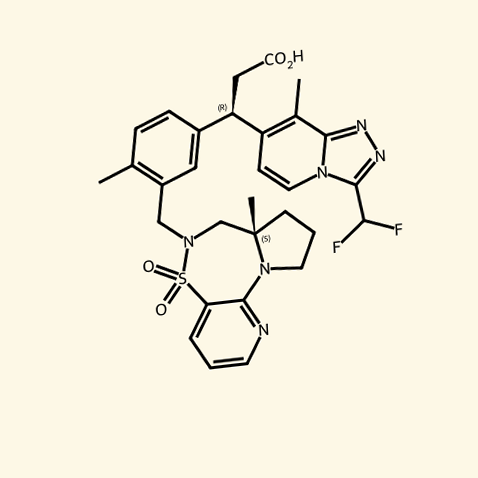 Cc1ccc([C@@H](CC(=O)O)c2ccn3c(C(F)F)nnc3c2C)cc1CN1C[C@]2(C)CCCN2c2ncccc2S1(=O)=O